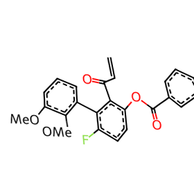 C=CC(=O)c1c(OC(=O)c2ccccc2)ccc(F)c1-c1cccc(OC)c1OC